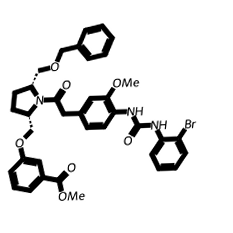 COC(=O)c1cccc(OC[C@@H]2CC[C@H](COCc3ccccc3)N2C(=O)Cc2ccc(NC(=O)Nc3ccccc3Br)c(OC)c2)c1